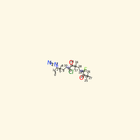 C=C/C(=N\C#N)C(C)(C)C/C=C(\Cl)C(=O)C(C)(C)C/C=C(\F)C(=O)C(C)(C)C